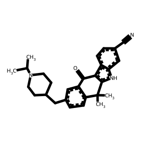 CC(C)N1CCC(Cc2ccc3c(c2)C(=O)c2c([nH]c4cc(C#N)ccc24)C3(C)C)CC1